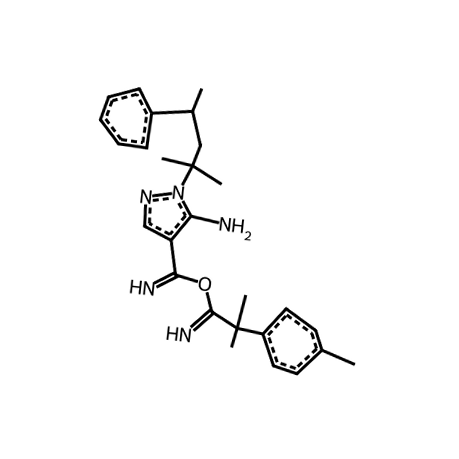 Cc1ccc(C(C)(C)C(=N)OC(=N)c2cnn(C(C)(C)CC(C)c3ccccc3)c2N)cc1